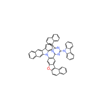 c1ccc2cc3c(cc2c1)c1ccccc1n3-c1cc2oc3ccc4ccccc4c3c2cc1-c1nc(-c2cccc3ccccc23)nc(-n2c3ccccc3c3ccccc32)n1